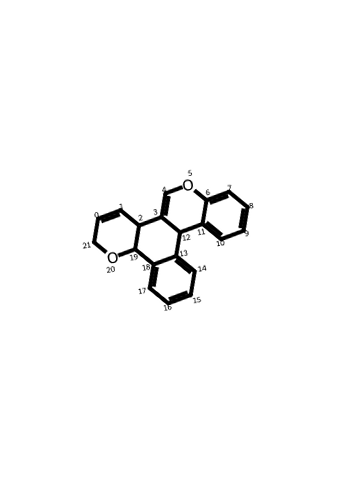 C1=CC2C3=COc4ccccc4C3c3ccccc3C2OC1